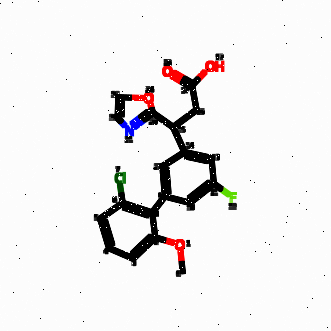 COc1cccc(Cl)c1-c1cc(F)cc(C(CC(=O)O)c2ncco2)c1